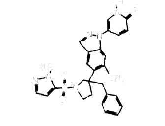 Cc1cc2c(cnn2-c2ccc(=O)n(C)c2)cc1C1(Cc2ccccc2)CCN(S(=O)(=O)c2ccnn2C)C1